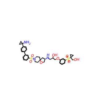 NC1(c2ccc(-c3cccc(S(=O)(=O)N4CCC5(CC4)C[C@@H](NCC(O)COc4cccc(S(=O)(=O)C6(CO)CC6)c4)CO5)c3)cc2)CC1